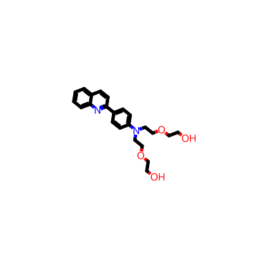 OCCOCCN(CCOCCO)c1ccc(-c2ccc3ccccc3n2)cc1